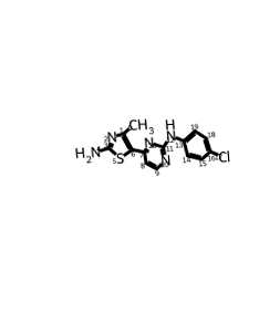 Cc1nc(N)sc1-c1ccnc(Nc2ccc(Cl)cc2)n1